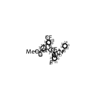 CC[C@H]1CN(C(=O)[C@]2(F)CN(Cc3ccccc3)C[C@H]2c2ccc(F)cn2)C[C@@H]1c1ccc(C(F)(F)F)cc1N1CCC(C(=O)OC)CC1